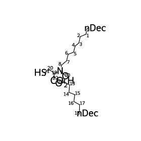 CCCCCCCCCCCCCCCCCCN(OC(=O)CCCCCCCCCCCCCCC)C(CS)C(=O)O